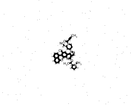 CC#CC(=O)N1CC[C@H](n2ncc3c(OC(C)[C@@H]4CCCN4C)nc4c(F)c(-c5cccc6cccc(Cl)c56)c(Cl)cc4c32)C[C@H]1CC#N